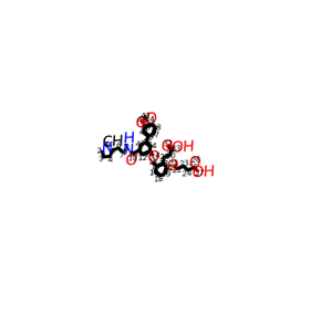 CN1CCCC1CCNC(=O)c1cc(OCc2cccc(OCCCC(=O)O)c2CCC(=O)O)cc(-c2ccc3c(c2)OCO3)c1